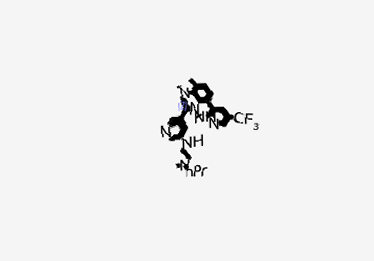 CCCN(C)CCNc1cncc(/C(=C/N(C)c2cc(-c3cncc(C(F)(F)F)c3)ccc2C)N=N)c1